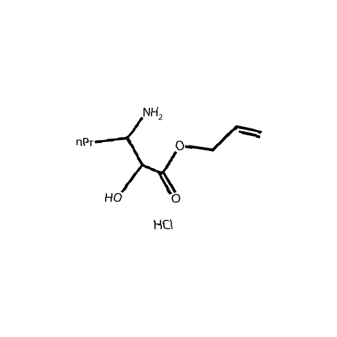 C=CCOC(=O)C(O)C(N)CCC.Cl